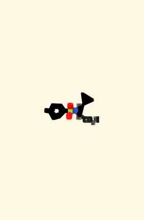 Cc1ccc(S(=O)(=O)N2[C@H](C3CC3)[C@@H]2C(=O)O)cc1